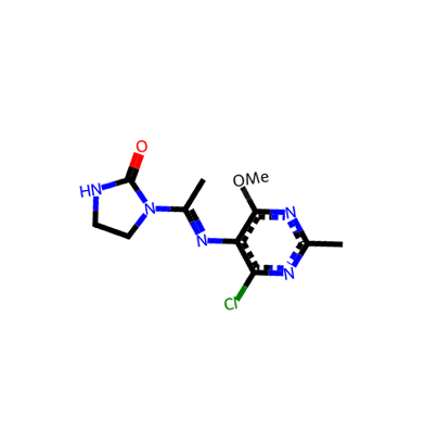 COc1nc(C)nc(Cl)c1N=C(C)N1CCNC1=O